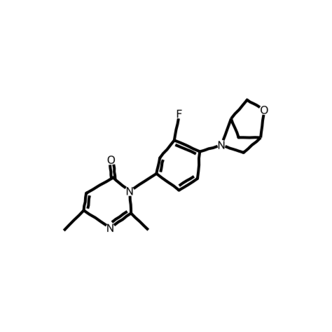 Cc1cc(=O)n(-c2ccc(N3CC4CC3CO4)c(F)c2)c(C)n1